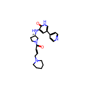 O=C(C=CCN1CCCCC1)N1CC[C@@H](Nc2cc(-c3ccncc3)c[nH]c2=O)C1